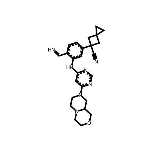 N#CC1(c2ccc(C=N)c(Nc3cc(N4CCN5CCOCC5C4)ncn3)c2)CC2(CC2)C1